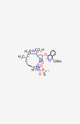 COc1nnc(O[C@@H]2C[C@H]3C(=O)N[C@]4(C(=O)NS(=O)(=O)C5(CF)CC5)C[C@H]4C=CCC[C@@H](C)C[C@@H](C)[C@H](NC(=O)O)C(=O)N3C2)c2ccccc12